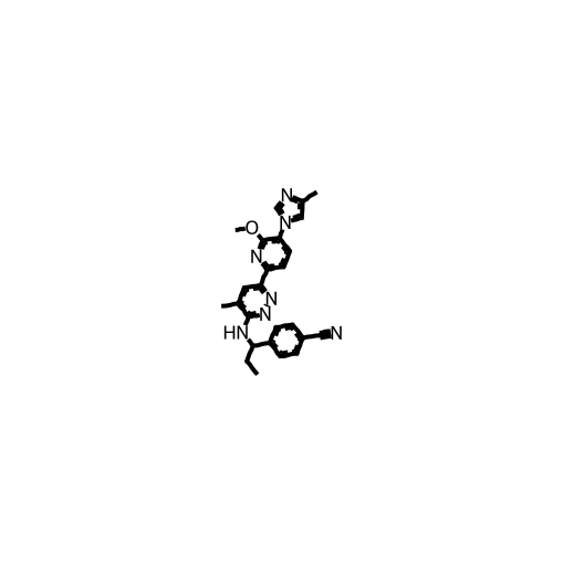 CCC(Nc1nnc(-c2ccc(-n3cnc(C)c3)c(OC)n2)cc1C)c1ccc(C#N)cc1